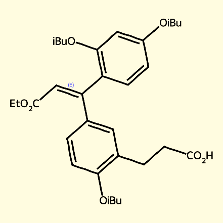 CCOC(=O)/C=C(\c1ccc(OCC(C)C)c(CCC(=O)O)c1)c1ccc(OCC(C)C)cc1OCC(C)C